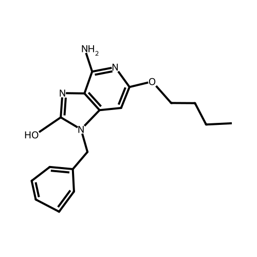 CCCCOc1cc2c(nc(O)n2Cc2ccccc2)c(N)n1